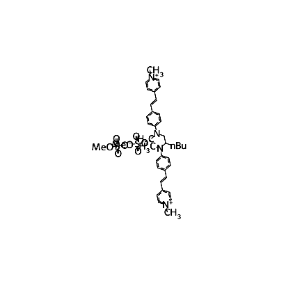 CCCCC(CN(C)c1ccc(/C=C/c2cc[n+](C)cc2)cc1)N(C)c1ccc(/C=C/c2cc[n+](C)cc2)cc1.COS(=O)(=O)[O-].COS(=O)(=O)[O-]